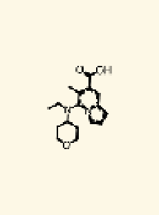 CCN(c1c(C)c(C(=O)O)cc2cccn12)C1CCOCC1